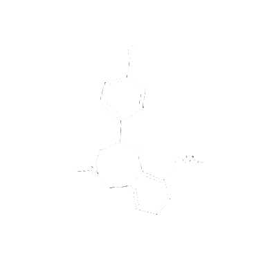 CCN1Cc2cccc(OC)c2OC(c2ccc(Cl)cc2)C1